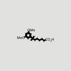 COc1cc(OC)cc(C(C)(C)CCCCCC(=O)O)c1